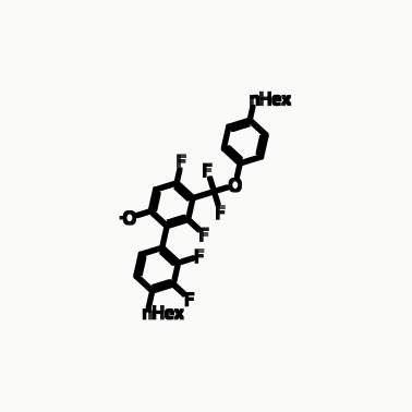 CCCCCCc1ccc(OC(F)(F)c2c(F)cc([O])c(-c3ccc(CCCCCC)c(F)c3F)c2F)cc1